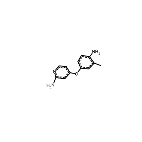 Cc1cc(Oc2ccnc(N)c2)ccc1N